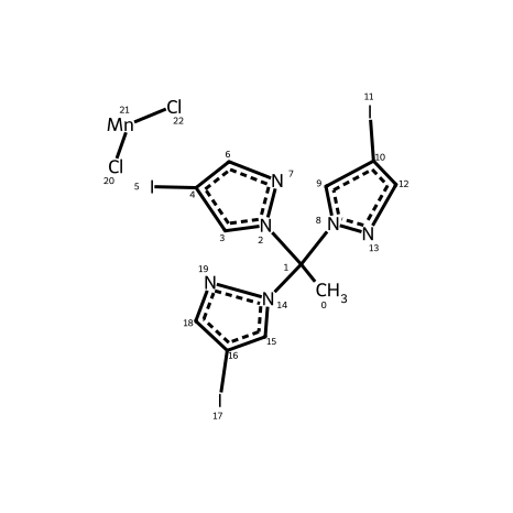 CC(n1cc(I)cn1)(n1cc(I)cn1)n1cc(I)cn1.[Cl][Mn][Cl]